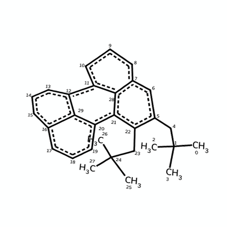 CC(C)(C)Cc1cc2cccc3c4cccc5cccc(c(c1CC(C)(C)C)c23)c54